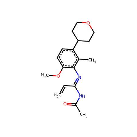 C=C/C(=N\c1c(OC)ccc(C2CCOCC2)c1C)NC(C)=O